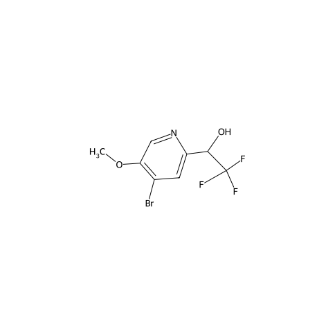 COc1cnc(C(O)C(F)(F)F)cc1Br